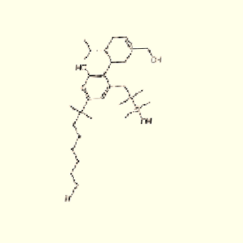 CC(C)[C@@H]1CC=C(CO)CC1c1c(O)cc(C(C)(C)CCCCCCBr)cc1CC(C)(C)[Si](C)(C)O